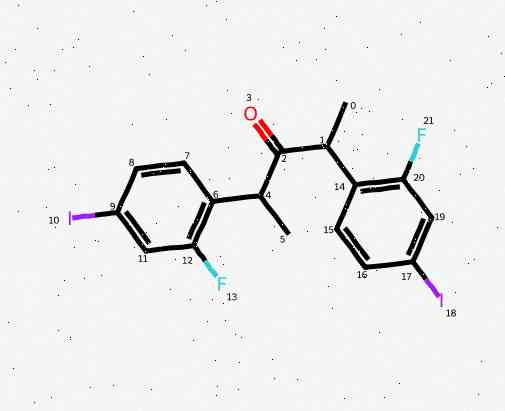 CC(C(=O)C(C)c1ccc(I)cc1F)c1ccc(I)cc1F